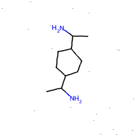 CC(N)C1CCC(C(C)N)CC1